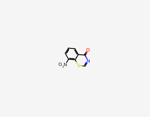 O=c1ncsc2c([N+](=O)[O-])cccc12